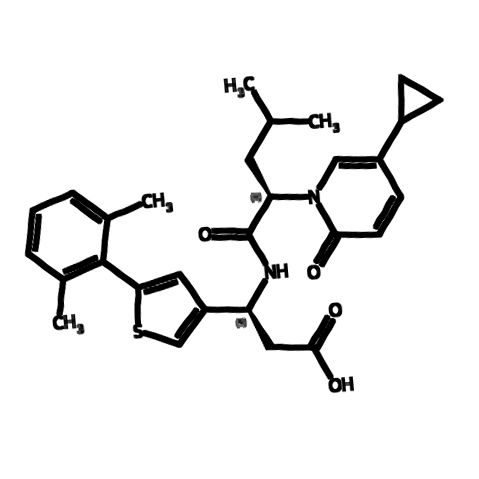 Cc1cccc(C)c1-c1cc([C@H](CC(=O)O)NC(=O)[C@@H](CC(C)C)n2cc(C3CC3)ccc2=O)cs1